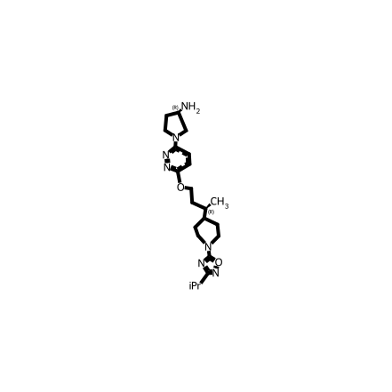 CC(C)c1noc(N2CCC([C@H](C)CCOc3ccc(N4CC[C@@H](N)C4)nn3)CC2)n1